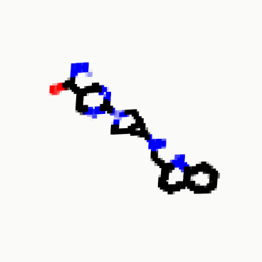 NC(=O)c1cnc(N2CC3C(C2)C3NCc2ccc3ccccc3n2)nc1